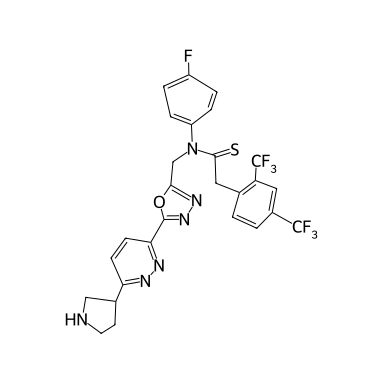 Fc1ccc(N(Cc2nnc(-c3ccc(C4CCNC4)nn3)o2)C(=S)Cc2ccc(C(F)(F)F)cc2C(F)(F)F)cc1